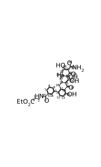 CCOC(=O)CCNC(=O)c1cccc(-c2ccc(O)c3c2CC2C[C@H]4CC(O)=C(C(N)=O)C(=O)[C@@]4(O)C(O)=C2C3=O)c1